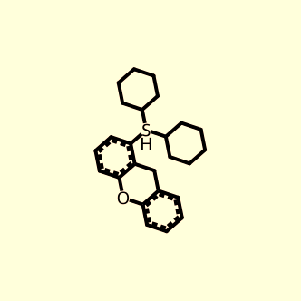 c1ccc2c(c1)Cc1c(cccc1[SH](C1CCCCC1)C1CCCCC1)O2